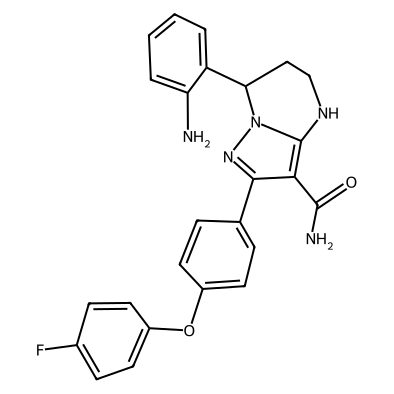 NC(=O)c1c(-c2ccc(Oc3ccc(F)cc3)cc2)nn2c1NCCC2c1ccccc1N